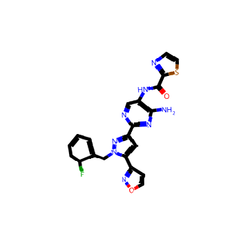 Nc1nc(-c2cc(-c3ccon3)n(CC3=CC=CCC3F)n2)ncc1NC(=O)c1nccs1